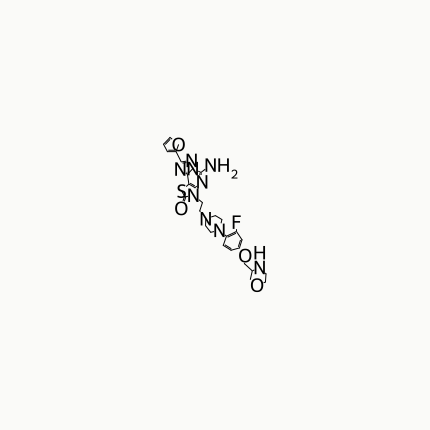 Nc1nc2c(sc(=O)n2CCN2CCN(c3ccc(OCC4COCCN4)cc3F)CC2)c2nc(-c3ccco3)nn12